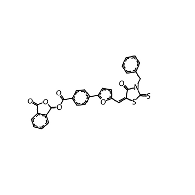 O=C(OC1OC(=O)c2ccccc21)c1ccc(-c2ccc(/C=C3/SC(=S)N(Cc4ccccc4)C3=O)o2)cc1